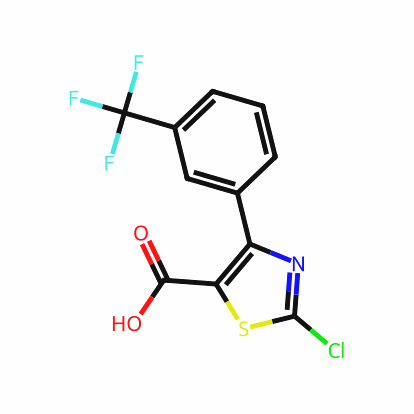 O=C(O)c1sc(Cl)nc1-c1cccc(C(F)(F)F)c1